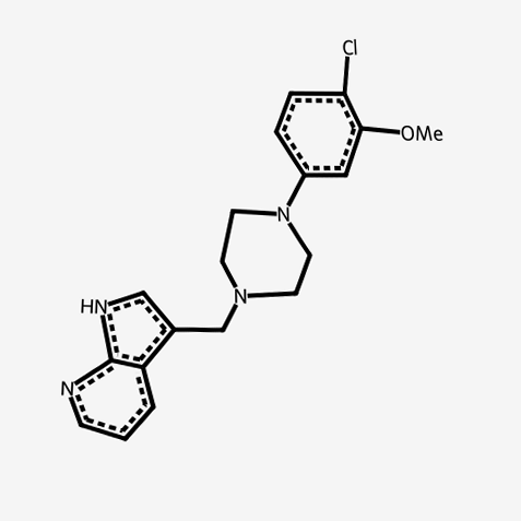 COc1cc(N2CCN(Cc3c[nH]c4ncccc34)CC2)ccc1Cl